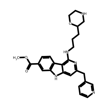 COC(=O)c1ccc2c(c1)[nH]c1cc(Cc3cccnc3)nc(NCCCC3CNCCO3)c12